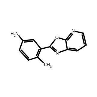 Cc1ccc(N)cc1-c1nc2cccnc2o1